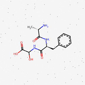 C[C@H](N)C(=O)N[C@@H](Cc1ccccc1)C(=O)NC(O)C(=O)O